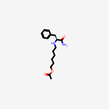 CC(=O)OCCCCCCN[C@@H](Cc1ccccc1)C(N)=O